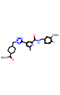 COC(=O)C1CCC(Cn2nnc(-c3cc(C)nc(C(=O)NCc4ccc(F)c(OC)c4)c3)n2)CC1